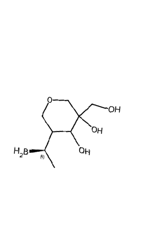 B[C@H](C)C1COCC(O)(CO)C1O